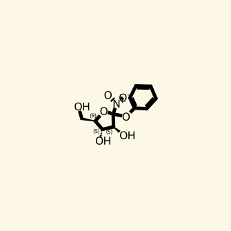 O=[N+]([O-])C1(Oc2ccccc2)O[C@H](CO)[C@@H](O)[C@@H]1O